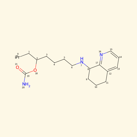 CC(C)CC(CCCCNC1CCCc2cccnc21)OC(N)=O